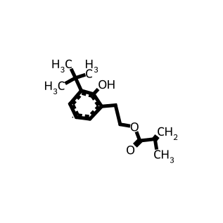 C=C(C)C(=O)OCCc1c[c]cc(C(C)(C)C)c1O